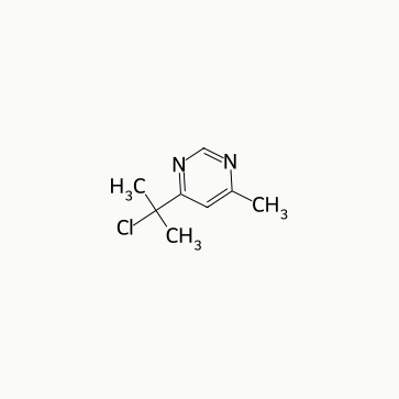 Cc1cc(C(C)(C)Cl)ncn1